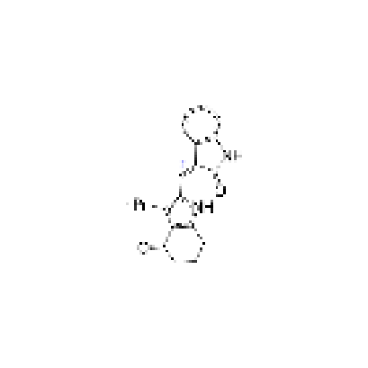 CCCc1c(/C=C2\C(=O)Nc3ccccc32)[nH]c2c1C(=O)CCC2